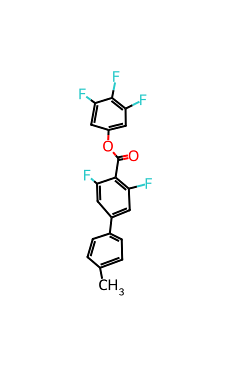 Cc1ccc(-c2cc(F)c(C(=O)Oc3cc(F)c(F)c(F)c3)c(F)c2)cc1